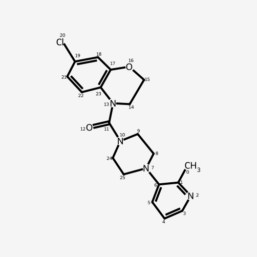 Cc1ncccc1N1CCN(C(=O)N2CCOc3cc(Cl)ccc32)CC1